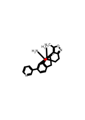 Cc1onc2c1CC1(CC2)Cc2ccc(-c3cccnc3)cc2C12N=C(N)N(C)C2=O